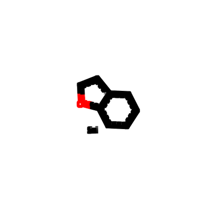 [Sn].c1ccc2occc2c1